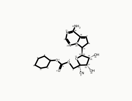 N#C[C@]1(COC(=O)OC2CCCCC2)O[C@@H](C2CC=C3C(N)=NC=NN32)[C@H](O)[C@@H]1O